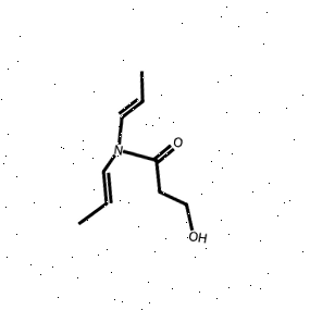 CC=CN(C=CC)C(=O)CCO